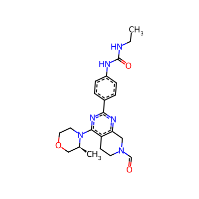 CCNC(=O)Nc1ccc(-c2nc3c(c(N4CCOC[C@@H]4C)n2)CCN(C=O)C3)cc1